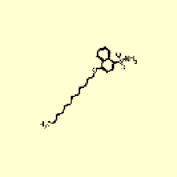 CCCCCCCCCCCCOc1ccc(S(N)(=O)=O)c2ccccc12